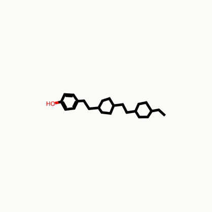 CCC1CCC(CCC2CCC(CCc3ccc(O)cc3)CC2)CC1